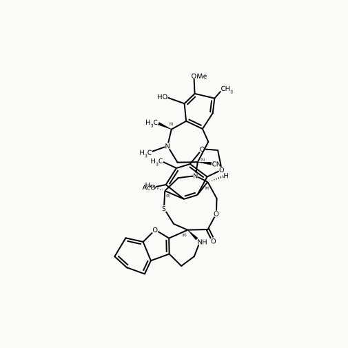 COc1c(C)cc2c(c1O)[C@H](C)N(C)C[C@@](C#N)(N1C[C@@H]3SC[C@]4(NCCc5c4oc4ccccc54)C(=O)OC[C@H]1c1c4c(c(C)c(OC(C)=O)c13)OCO4)C2